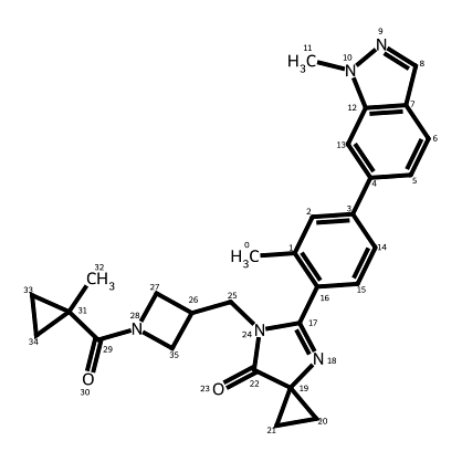 Cc1cc(-c2ccc3cnn(C)c3c2)ccc1C1=NC2(CC2)C(=O)N1CC1CN(C(=O)C2(C)CC2)C1